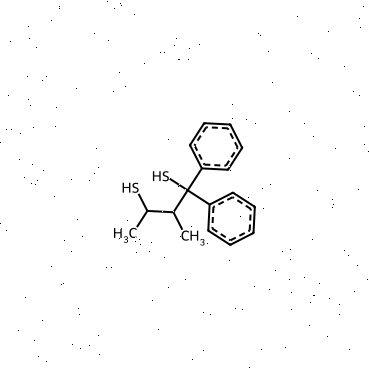 CC(S)C(C)C(S)(c1ccccc1)c1ccccc1